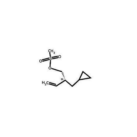 C=C[C@H](COS(C)(=O)=O)CC1CC1